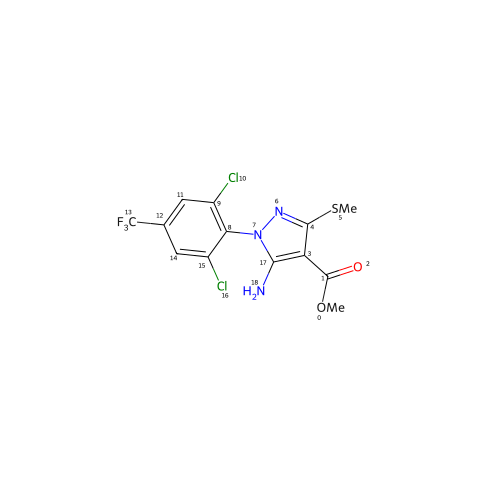 COC(=O)c1c(SC)nn(-c2c(Cl)cc(C(F)(F)F)cc2Cl)c1N